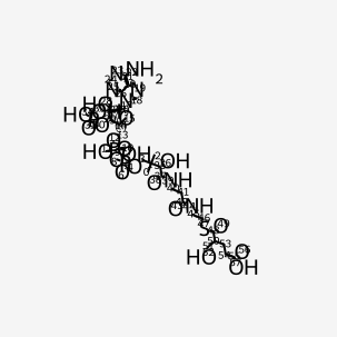 CC(C)(COP(=O)(O)OP(=O)(O)OC[C@H]1O[C@@H](n2cnc3c(N)ncnc32)[C@H](O)[C@@H]1OP(=O)(O)O)C(O)C(=O)NCCC(=O)NCCSC(=O)C(CO)CCC(=O)O